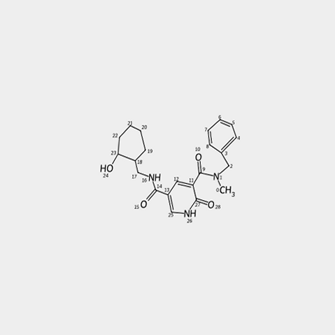 CN(Cc1ccccc1)C(=O)c1cc(C(=O)NCC2CCCCC2O)c[nH]c1=O